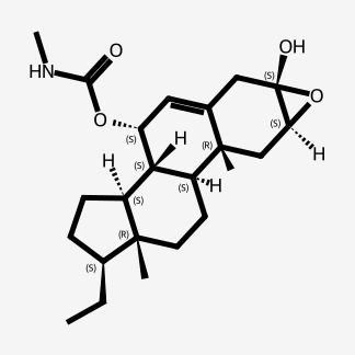 CC[C@H]1CC[C@H]2[C@@H]3[C@H](OC(=O)NC)C=C4C[C@]5(O)O[C@H]5C[C@]4(C)[C@H]3CC[C@]12C